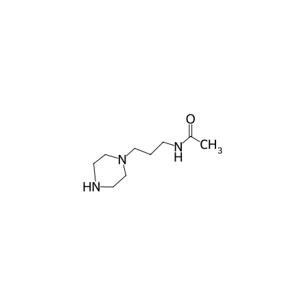 CC(=O)NCCCN1CCNCC1